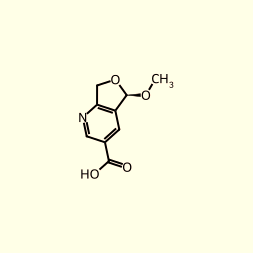 CO[C@@H]1OCc2ncc(C(=O)O)cc21